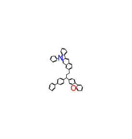 c1ccc(-c2ccc(C(CCc3ccc4cc5c6ccccc6n(-c6ccccc6)c5cc4c3)c3ccc4c(c3)oc3ccccc34)cc2)cc1